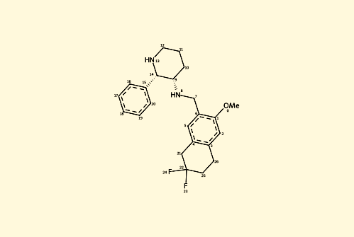 COc1cc2c(cc1CN[C@H]1CCCN[C@H]1c1ccccc1)CC(F)(F)CC2